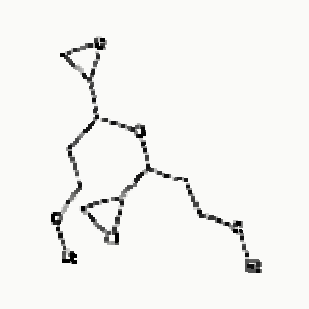 CCOCCC(OC(CCOCC)C1CO1)C1CO1